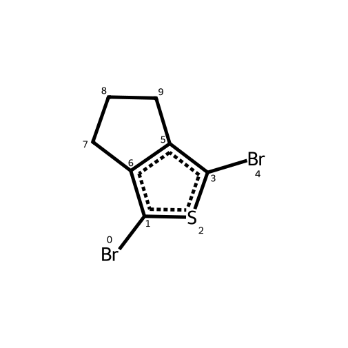 Brc1sc(Br)c2c1CCC2